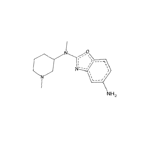 CN1CCCC(N(C)c2nc3cc(N)ccc3o2)C1